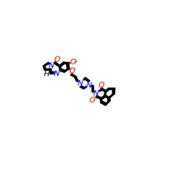 COc1cc2c(cc1OCCCN1CCN(CCN3C(=O)c4cccc5cccc(c45)C3=O)CC1)N=C[C@@H]1CCCN1C2=O